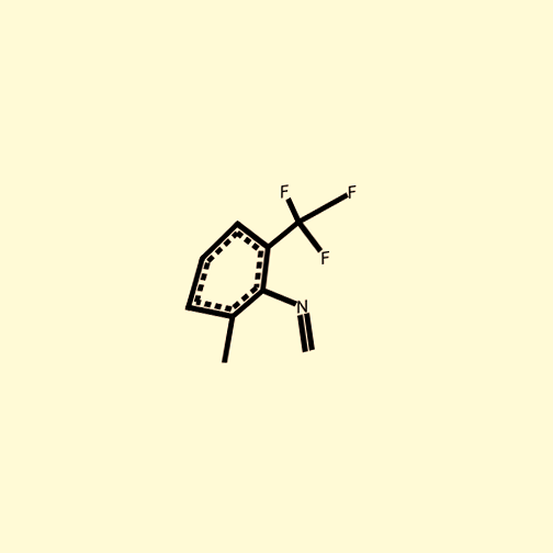 C=Nc1c(C)cccc1C(F)(F)F